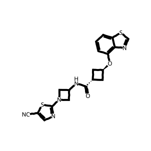 N#Cc1cnc(N2CC(NC(=O)[C@H]3C[C@H](Oc4cccc5scnc45)C3)C2)s1